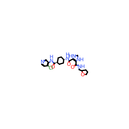 O=C(NCC1CCCO1)C1=C(C(=O)N[C@H]2CC[C@H](C(=O)Nc3cnccc3Cl)CC2)NCN1